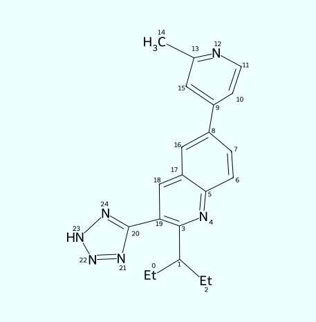 CCC(CC)c1nc2ccc(-c3ccnc(C)c3)cc2cc1-c1nn[nH]n1